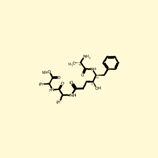 COC(=O)C(NC(=O)C(NC(=O)CC[C@H](O)[C@H](Cc1ccccc1)NC(=O)[C@H](C)N)C(C)C)C(C)C